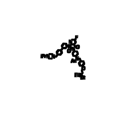 CCN(CC)CCOc1ccc(CN(C(C)=O)C2CCC(n3c(=O)c4cc(F)cnc4n(-c4cccc(-c5ccc(CN6CCN(C(C)C)CC6)cc5)c4)c3=O)CC2)cc1